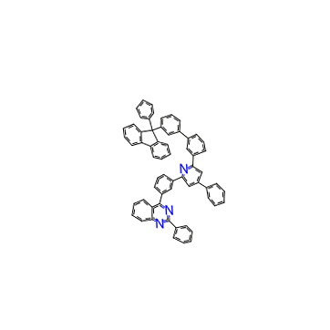 c1ccc(-c2cc(-c3cccc(-c4cccc(C5(c6ccccc6)c6ccccc6-c6ccccc65)c4)c3)nc(-c3cccc(-c4nc(-c5ccccc5)nc5ccccc45)c3)c2)cc1